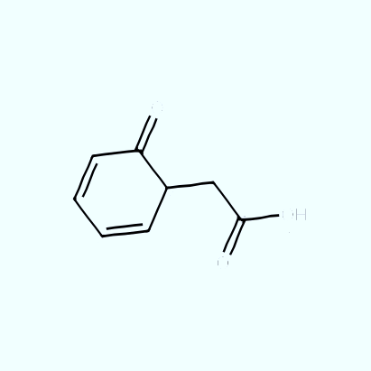 O=C(O)CC1C=CC=CC1=O